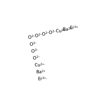 [Ba+2].[Ba+2].[Cu+2].[Cu+2].[Er+3].[Er+3].[O-2].[O-2].[O-2].[O-2].[O-2].[O-2].[O-2]